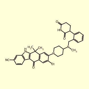 CCc1cc2c(cc1N1CCC(N(C)Cc3ccccc3C3CCC(=O)NC3=O)CC1)C(C)(C)c1[nH]c3cc(C#N)ccc3c1C2=O